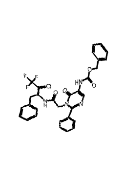 O=C(Cn1c(-c2ccccc2)ncc(NC(=O)OCc2ccccc2)c1=O)NC(Cc1ccccc1)C(=O)C(F)(F)F